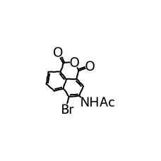 CC(=O)Nc1cc2c3c(cccc3c1Br)C(=O)OC2=O